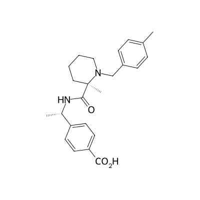 Cc1ccc(CN2CCCC[C@]2(C)C(=O)N[C@@H](C)c2ccc(C(=O)O)cc2)cc1